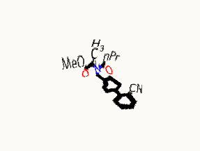 CCCC(=O)N(Cc1ccc(-c2ccccc2C#N)cc1)[C@@H](C)C(=O)OC